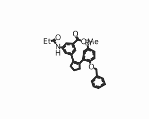 CCC(=O)Nc1cc(C(=O)OC)cc(C2=C(c3cc(Br)ccc3OCc3ccccc3)CCC2)c1